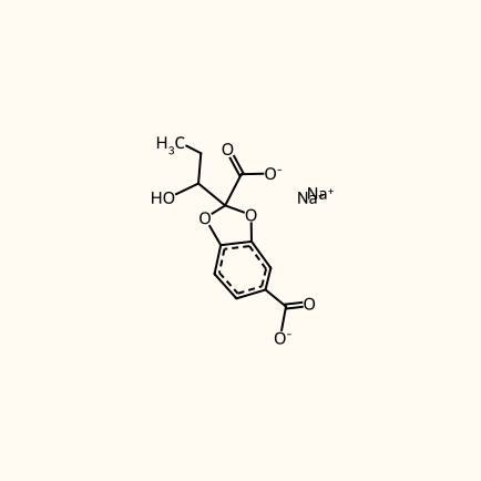 CCC(O)C1(C(=O)[O-])Oc2ccc(C(=O)[O-])cc2O1.[Na+].[Na+]